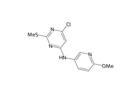 COc1ccc(Nc2cc(Cl)nc(SC)n2)cn1